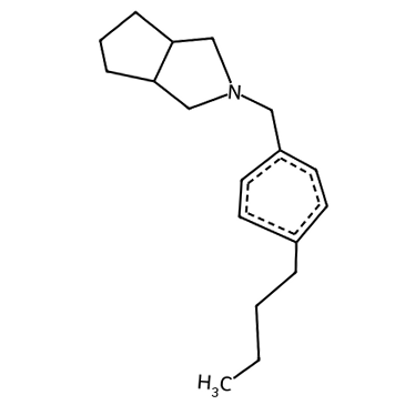 CCCCc1ccc(CN2CC3CCCC3C2)cc1